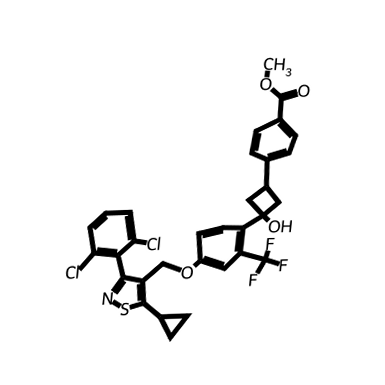 COC(=O)c1ccc(C2CC(O)(c3ccc(OCc4c(-c5c(Cl)cccc5Cl)nsc4C4CC4)cc3C(F)(F)F)C2)cc1